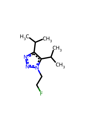 CC(C)c1nnn(CCF)c1C(C)C